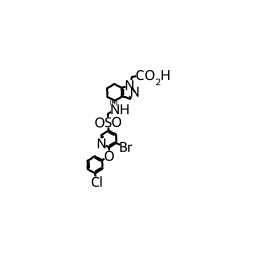 O=C(O)Cn1ncc2c1CCC[C@H]2NCS(=O)(=O)c1cnc(Oc2cccc(Cl)c2)c(Br)c1